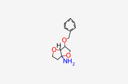 N[C@@]12CCO[C@@H]1C(OCc1ccccc1)CO2